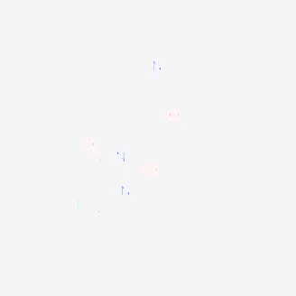 C=CCOc1cc(-n2c(=O)cc(C(F)(F)F)n(C)c2=O)c(F)cc1C#N